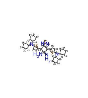 Nc1c(N)c(-c2ccc(N(c3ccccc3)c3ccccc3)s2)c2nsnc2c1-c1ccc(N(c2ccccc2)c2ccccc2)s1